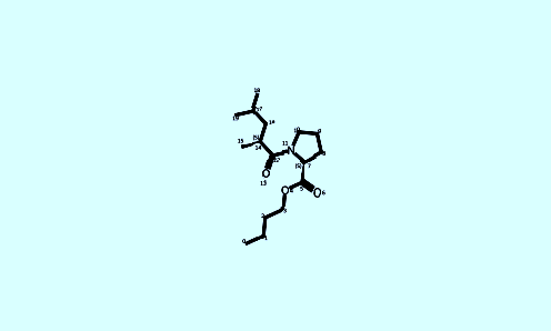 CCCCOC(=O)[C@@H]1CCCN1C(=O)[C@@H](C)CC(C)C